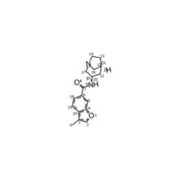 Cc1coc2cc(C(=O)N[C@@H]3C[C@@H]4CCN(C4)C3)ccc12